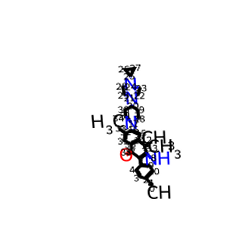 C#Cc1ccc2c3c([nH]c2c1)C(C)(C)c1cc(N2CCC(N4CCN(C5CC5)CC4)CC2)c(CC)cc1C3=O